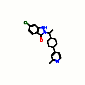 Cc1cc(C2CCC(C(C)n3[nH]c4cc(Cl)ccc4c3=O)CC2)ccn1